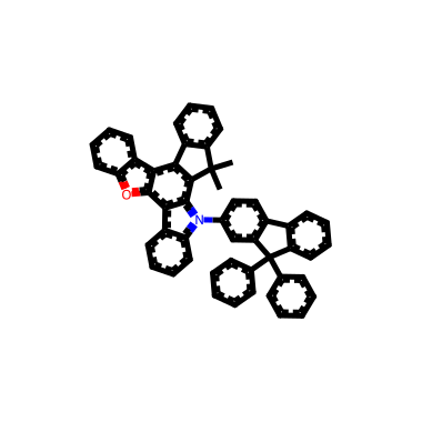 CC1(C)c2ccccc2-c2c1c1c(c3ccccc3n1-c1ccc3c(c1)C(c1ccccc1)(c1ccccc1)c1ccccc1-3)c1oc3ccccc3c21